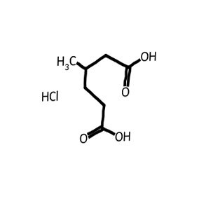 CC(CCC(=O)O)CC(=O)O.Cl